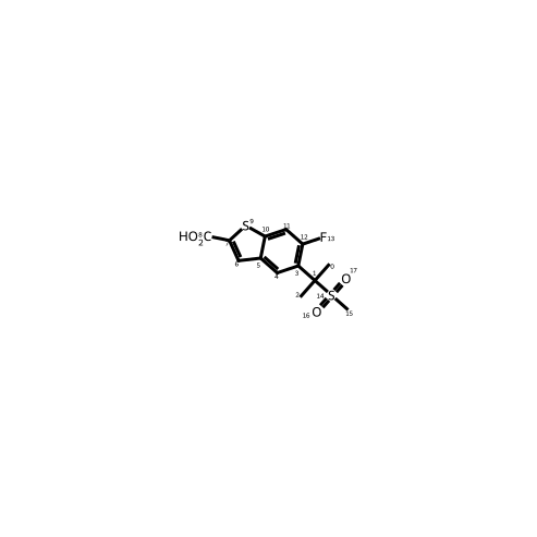 CC(C)(c1cc2cc(C(=O)O)sc2cc1F)S(C)(=O)=O